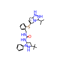 CC(C)C1NNC2CC=C(Sc3ccccc3CNC(=O)NC3CC(C(C)(C)C)NN3c3ccccc3)CN21